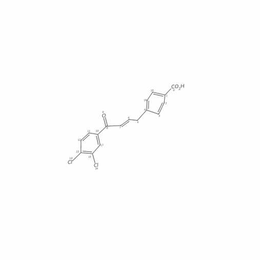 O=C(O)c1ccc(CC=CC(=O)c2ccc(Cl)c(Cl)c2)cc1